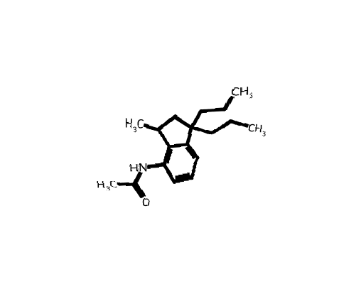 CCCC1(CCC)CC(C)c2c(NC(C)=O)cccc21